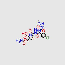 CCNC(=O)N(C)C(=O)NC(C(=O)NC1C(=O)N2C(C(=O)O)=C(COC(N)=O)CS[C@@H]12)c1ccc(Cl)cc1